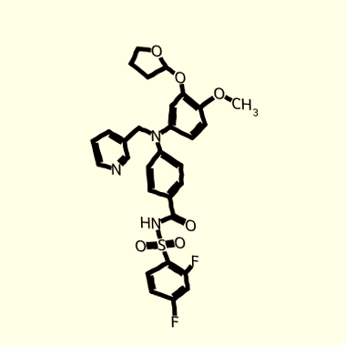 COc1ccc(N(Cc2cccnc2)c2ccc(C(=O)NS(=O)(=O)c3ccc(F)cc3F)cc2)cc1OC1CCCO1